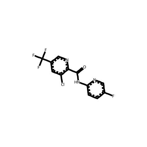 O=C(Nc1ccc(F)cn1)c1ncc(C(F)(F)F)cc1Cl